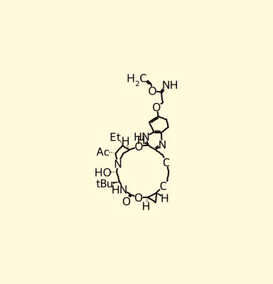 C=COC(=N)COC1=CC2=C(CC1)N=C1CCCCC[C@@H]3C[C@H]3OC(=O)N[C@@H](C(C)(C)C)[C@H](O)N3C[C@H](O[C@@H]1N2)[C@@H](CC)[C@H]3C(C)=O